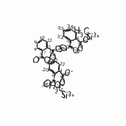 C[Si+3].C[Si+3].O=C([O-])c1ccccc1C(=O)[O-].O=C([O-])c1ccccc1C(=O)[O-].O=C([O-])c1ccccc1C(=O)[O-]